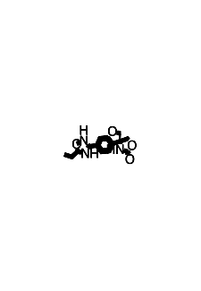 CCC1NC(c2ccc3c(c2)OC[C@]32COC(=O)N2)NO1